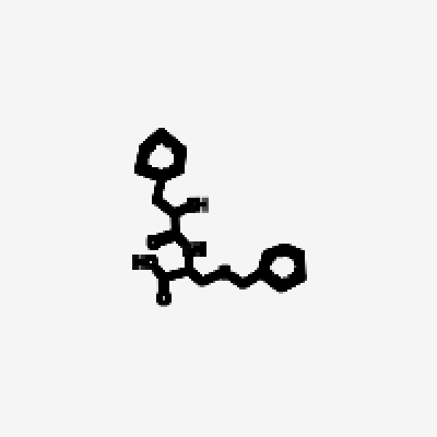 O=C(NC(CSCc1ccccc1)C(=O)O)C(S)Cc1ccccc1